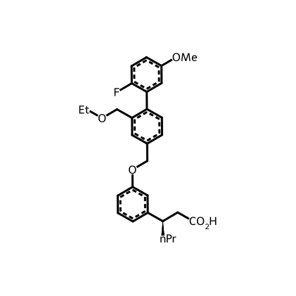 CCC[C@H](CC(=O)O)c1cccc(OCc2ccc(-c3cc(OC)ccc3F)c(COCC)c2)c1